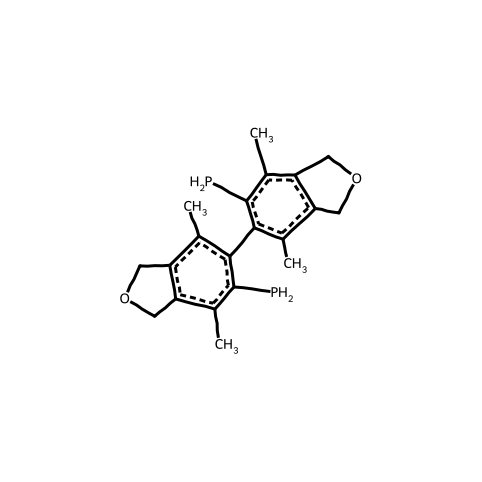 Cc1c(P)c(-c2c(C)c3c(c(C)c2P)COC3)c(C)c2c1COC2